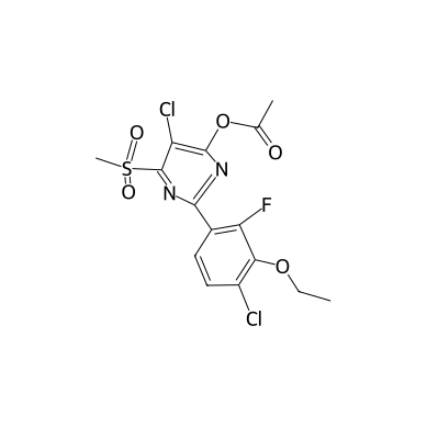 CCOc1c(Cl)ccc(-c2nc(OC(C)=O)c(Cl)c(S(C)(=O)=O)n2)c1F